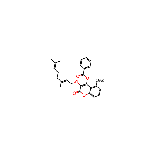 CC(=O)Oc1cccc2oc(=O)c(OC/C=C(\C)CCC=C(C)C)c(OC(=O)c3ccccc3)c12